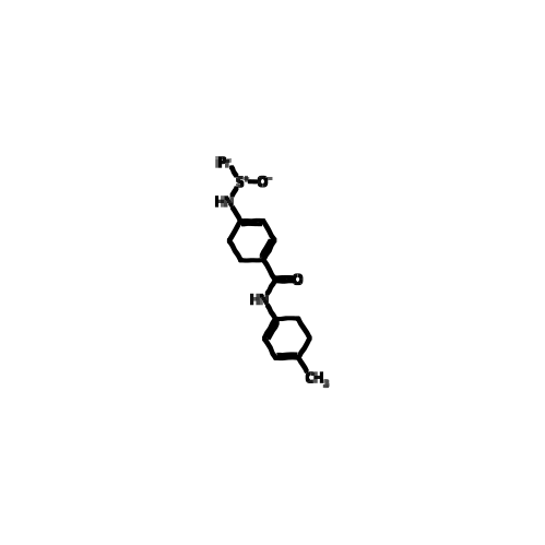 CC1=CC=C(NC(=O)C2=CC=C(N[S+]([O-])C(C)C)CC2)CC1